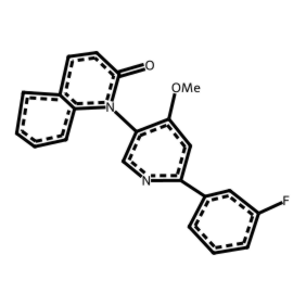 COc1cc(-c2cccc(F)c2)ncc1-n1c(=O)ccc2ccccc21